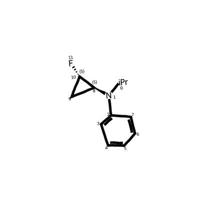 CC(C)N(c1ccccc1)[C@H]1C[C@@H]1F